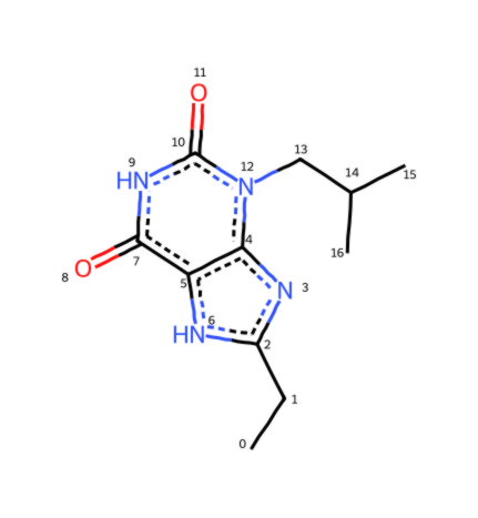 CCc1nc2c([nH]1)c(=O)[nH]c(=O)n2CC(C)C